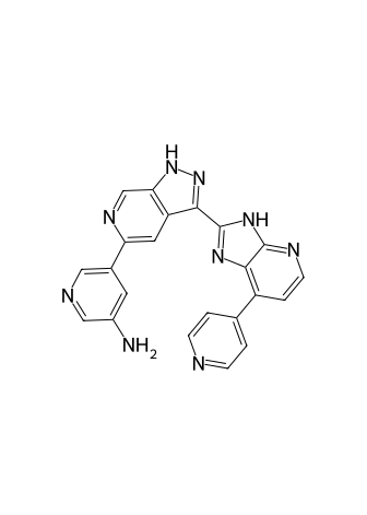 Nc1cncc(-c2cc3c(-c4nc5c(-c6ccncc6)ccnc5[nH]4)n[nH]c3cn2)c1